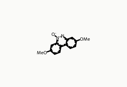 COc1ccc2c(c1)n[n+]([O-])c1cc(OC)ccc21